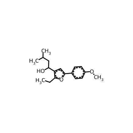 CCc1oc(-c2ccc(OC)cc2)cc1C(O)CC(C)C